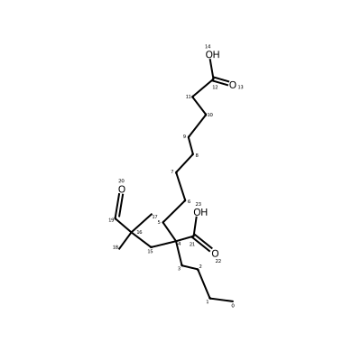 CCCCC(CCCCCCCC(=O)O)(CC(C)(C)C=O)C(=O)O